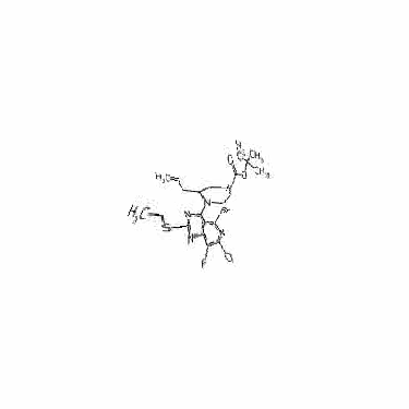 C=CCC1CN(C(=O)OC(C)(C)C)CCN1c1nc(SCC)nc2c(F)c(Cl)nc(Br)c12